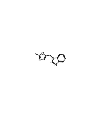 Cc1ncc(Cn2[c]nc3ccccc32)o1